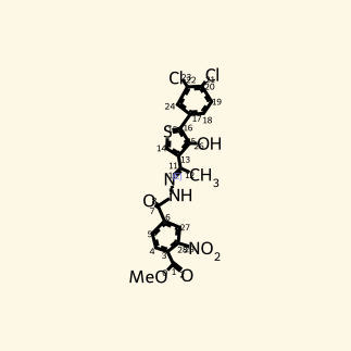 COC(=O)c1ccc(C(=O)N/N=C(\C)c2csc(-c3ccc(Cl)c(Cl)c3)c2O)cc1[N+](=O)[O-]